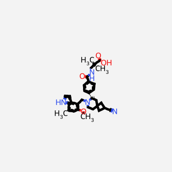 COc1cc(C)c2[nH]ccc2c1CN1CCC2(CC(C#N)C2)C[C@H]1c1ccc(C(=O)NCC(C)(C)C(=O)O)cc1